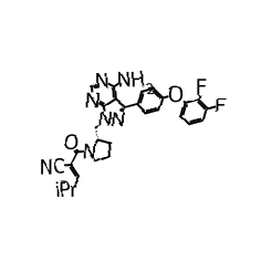 CC(C)C=C(C#N)C(=O)N1CCC[C@H]1Cn1nc(-c2ccc(Oc3cccc(F)c3F)cc2)c2c(N)ncnc21